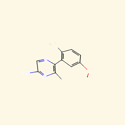 CCc1nc(N)cnc1-c1cc(OC(F)(F)F)ccc1OC